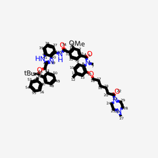 COc1cc(C(=O)N(C)c2ccc(C)cc2OCCCCCC(=O)N2CCN(C)CC2)ccc1C(=O)Nc1cccc2[nH]c(CO[Si](c3ccccc3)(c3ccccc3)C(C)(C)C)nc12